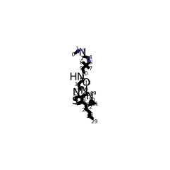 C/C=N\C/C=C\C(C)(C)CCNC(=O)Cc1nc(N(C)C2CC2)c2c(CCCCC)csc2n1